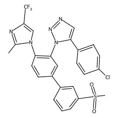 Cc1nc(C(F)(F)F)cn1-c1ccc(-c2cccc(S(C)(=O)=O)c2)cc1-n1nncc1-c1ccc(Cl)cc1